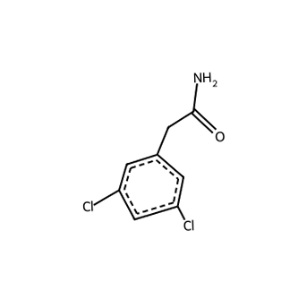 NC(=O)Cc1cc(Cl)cc(Cl)c1